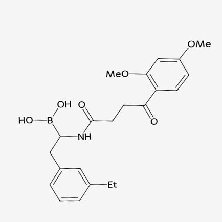 CCc1cccc(CC(NC(=O)CCC(=O)c2ccc(OC)cc2OC)B(O)O)c1